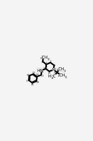 CCC1CCN(C(C)(C)C)CC1NCc1ccccc1